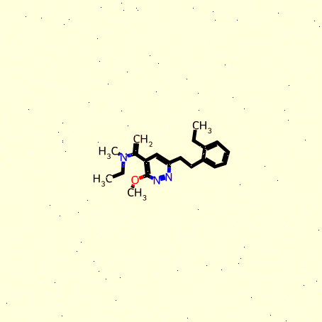 C=C(c1cc(CCc2ccccc2CC)nnc1OC)N(C)CC